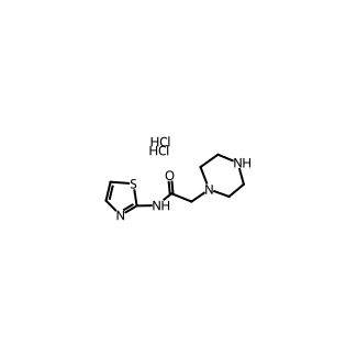 Cl.Cl.O=C(CN1CCNCC1)Nc1nccs1